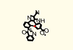 COC(=O)c1ccc2c(c1)[nH]c1c(C#N)cnc(-c3cccc(-n4cnc5ccccc5c4=O)c3C)c12